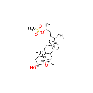 CC(C)C(CCC(C)[C@H]1CCC2C3C[C@H]4O[C@]45C[C@@H](O)CC[C@]5(C)C3CC[C@@]21C)OS(C)(=O)=O